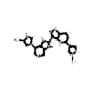 Cc1cn(-c2cncc3[nH]c(-c4n[nH]c5ccc(-c6cnn(C)c6)nc45)nc23)cn1